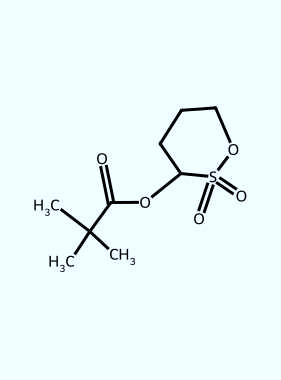 CC(C)(C)C(=O)OC1CCCOS1(=O)=O